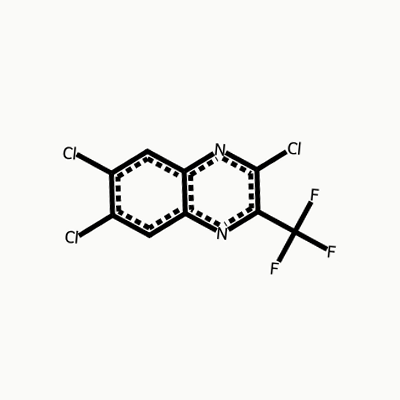 FC(F)(F)c1nc2cc(Cl)c(Cl)cc2nc1Cl